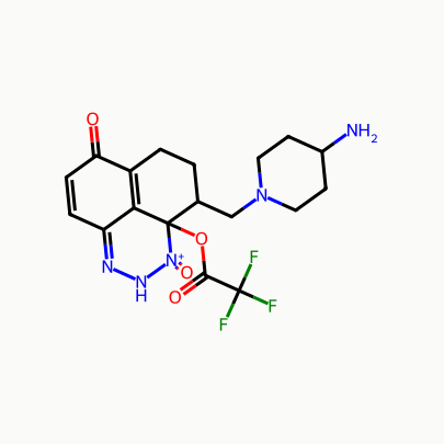 NC1CCN(CC2CCC3=C4C(=NN[N+](=O)C42OC(=O)C(F)(F)F)C=CC3=O)CC1